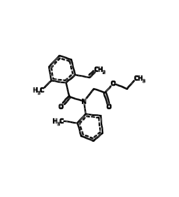 C=Cc1cccc(C)c1C(=O)N(CC(=O)OCC)c1ccccc1C